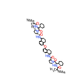 CN[C@@H](C)C(=O)N[C@H](C(=O)N1CCC[C@H]1C(=O)N[C@@H]1CCCc2c(Oc3cccc4c3CCC[C@H]4NC(=O)[C@@H]3CCCN3C(=O)[C@@H](NC(=O)[C@H](C)NC)C3CCCCC3)cccc21)C1CCCCC1